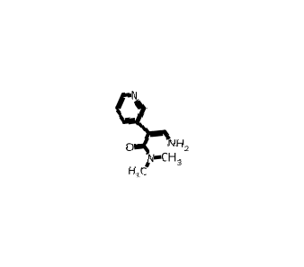 CN(C)C(=O)/C(=C\N)c1cccnc1